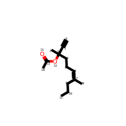 C#CC(C)(CCC=C(C)CCC)OC(C)=O